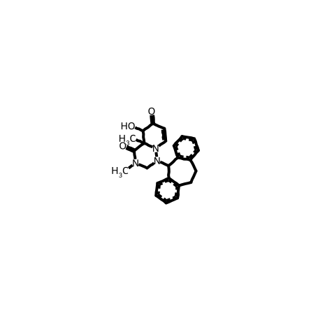 CN1CN(C2c3ccccc3CCc3ccccc32)N2C=CC(=O)C(O)C2(C)C1=O